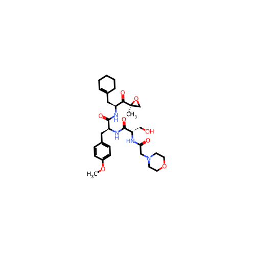 COc1ccc(C[C@H](NC(=O)[C@H](CO)NC(=O)CN2CCOCC2)C(=O)N[C@@H](CC2=CCCCC2)C(=O)[C@]2(C)CO2)cc1